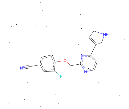 N#Cc1ccc(OCc2nccc(C3=CCNC3)n2)c(F)c1